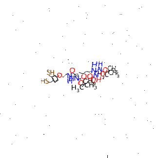 CC(C)(C)OC(=O)NC(=NC(=O)O)NCCCC[C@H](NC(=O)OC(C)(C)C)C(=O)NCCOc1ccc(CS)c(CS)c1